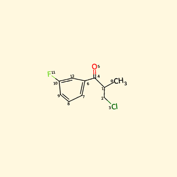 CC(CCl)C(=O)c1cccc(F)c1